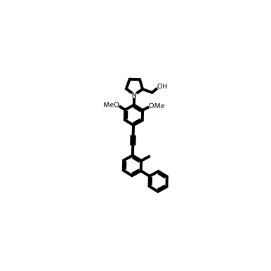 COc1cc(C#Cc2cccc(-c3ccccc3)c2C)cc(OC)c1N1CCCC1CO